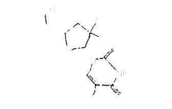 CC1(F)C[C@@H](CO)O[C@H]1n1cc(F)c(=S)[nH]c1=O